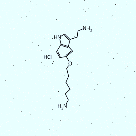 Cl.NCCCCCCOc1ccc2[nH]cc(CCN)c2c1